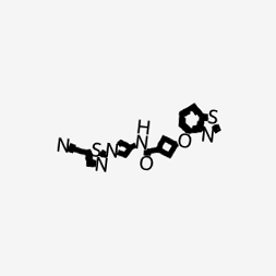 N#Cc1cnc(N2CC(NC(=O)C3CC(Oc4cccc5scnc45)C3)C2)s1